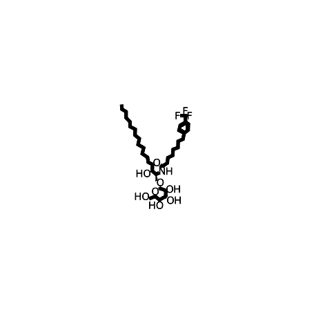 CCCCCCCCCCCCCCC[C@@H](O)[C@H](CO[C@H]1OC(CO)[C@H](O)C(O)C1O)NC(=O)CCCCCCCc1ccc(C(F)(F)F)cc1